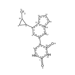 O=c1[nH]cc(-c2cc(C3CC3C(F)(F)F)c3cccn3n2)c(=O)[nH]1